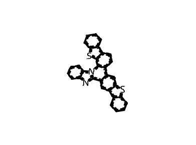 c1ccc2c(c1)nc1c3cc4c(cc3c3ccc5c6ccccc6sc5c3n21)sc1ccccc14